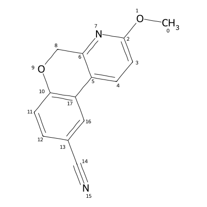 COc1ccc2c(n1)COc1ccc(C#N)cc1-2